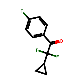 O=C(c1ccc(F)cc1)C(F)(F)C1CC1